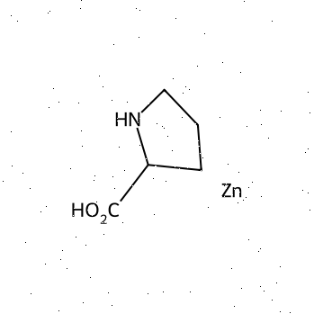 O=C(O)C1CCCN1.[Zn]